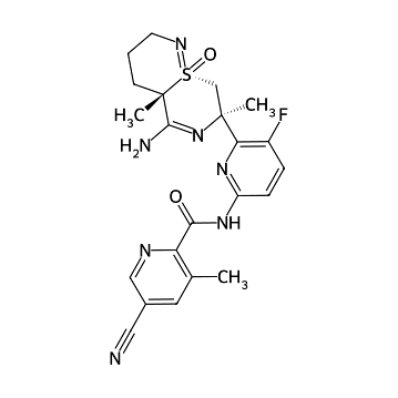 Cc1cc(C#N)cnc1C(=O)Nc1ccc(F)c([C@]2(C)C[S@@]3(=O)=NCCC[C@@]3(C)C(N)=N2)n1